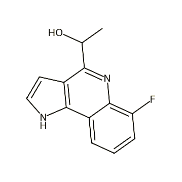 CC(O)c1nc2c(F)cccc2c2[nH]ccc12